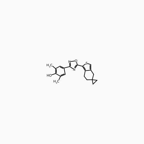 Cc1cc(-c2noc(-c3scc4c3CCC3(CC3)C4)n2)cc(C)c1O